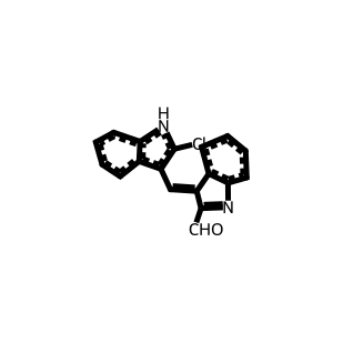 O=CC1=Nc2ccccc2C1=Cc1c(Cl)[nH]c2ccccc12